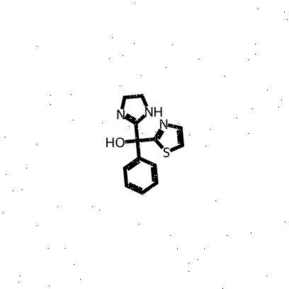 OC(C1=NCCN1)(c1ccccc1)c1nccs1